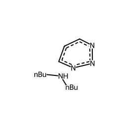 CCCCNCCCC.c1cnnnc1